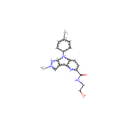 Cn1cc2c3nc(C(=O)NCCO)ccc3n(-c3ccc(C(F)(F)F)cc3)c2n1